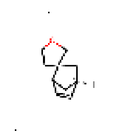 C1=C[C@H]2CC1C1(CCOC1)C2